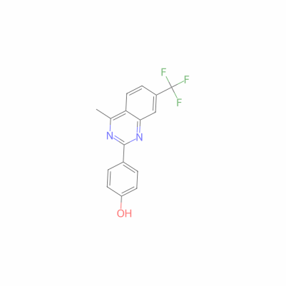 Cc1nc(-c2ccc(O)cc2)nc2cc(C(F)(F)F)ccc12